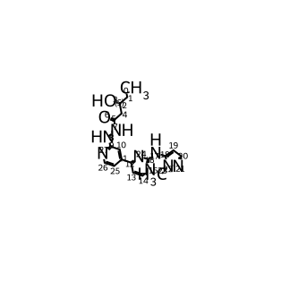 CC[C@H](O)CC(=O)NNc1cc(-c2ccnc(Nc3ccnn3C)n2)ccn1